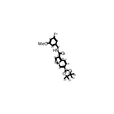 COc1cc(F)cc(CNC(=O)c2cnn3cc(B4OC(C)(C)C(C)(C)O4)ccc23)c1